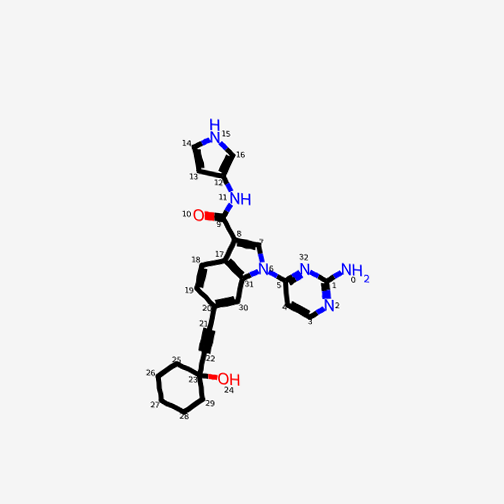 Nc1nccc(-n2cc(C(=O)Nc3cc[nH]c3)c3ccc(C#CC4(O)CCCCC4)cc32)n1